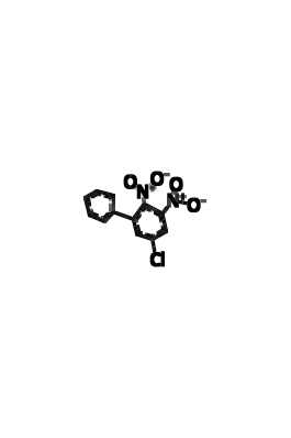 O=[N+]([O-])c1cc(Cl)cc(-c2ccccc2)c1[N+](=O)[O-]